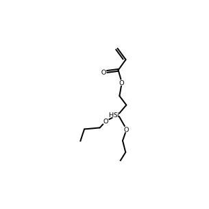 C=CC(=O)OCC[SiH](OCCC)OCCC